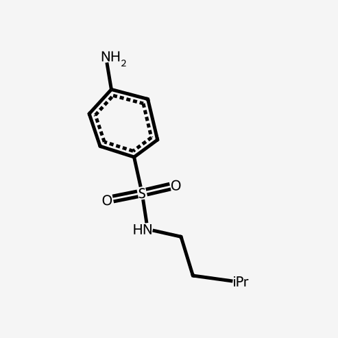 CC(C)CCNS(=O)(=O)c1ccc(N)cc1